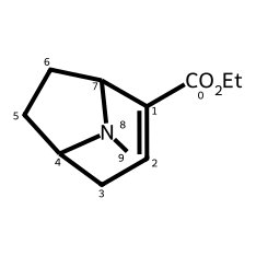 CCOC(=O)C1=CCC2CCC1N2C